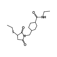 CCNC(=O)C1CCC(CN2C(=O)CC(SCC)C2=O)CC1